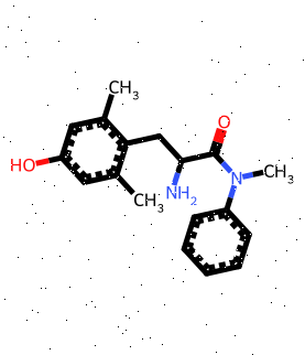 Cc1cc(O)cc(C)c1CC(N)C(=O)N(C)c1ccccc1